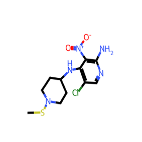 CSN1CCC(Nc2c(Cl)cnc(N)c2[N+](=O)[O-])CC1